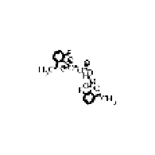 CCc1cccc(F)c1S(=O)(=O)OCO[PH](=O)OCOS(=O)(=O)c1c(F)cccc1CC